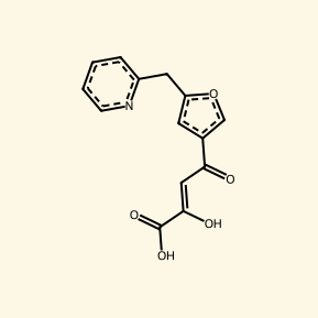 O=C(O)/C(O)=C/C(=O)c1coc(Cc2ccccn2)c1